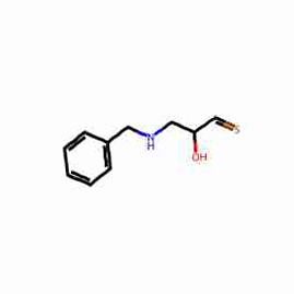 OC([C]=S)CNCc1ccccc1